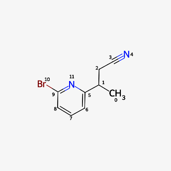 CC(CC#N)c1cccc(Br)n1